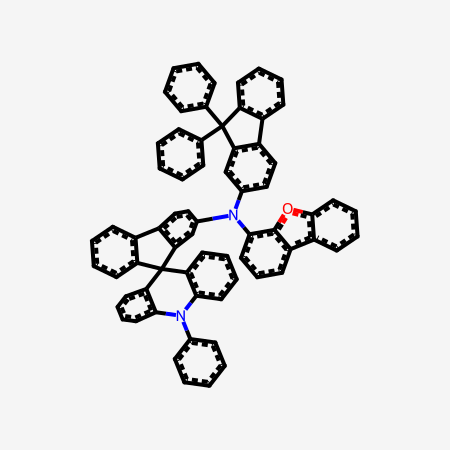 c1ccc(N2c3ccccc3C3(c4ccccc4-c4ccc(N(c5ccc6c(c5)C(c5ccccc5)(c5ccccc5)c5ccccc5-6)c5cccc6c5oc5ccccc56)cc43)c3ccccc32)cc1